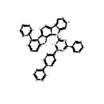 c1ccc(-c2ccc(-c3nc(-c4ccccc4)nc(-n4c5ccccc5c5ccc6c(oc7cccc(-c8ccccc8)c76)c54)n3)cc2)cc1